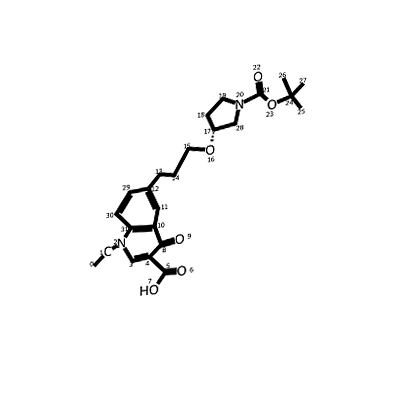 CCn1cc(C(=O)O)c(=O)c2cc(CCCO[C@@H]3CCN(C(=O)OC(C)(C)C)C3)ccc21